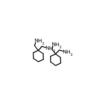 NCC1(CN)CCCCC1.NCC1(CN)CCCCC1